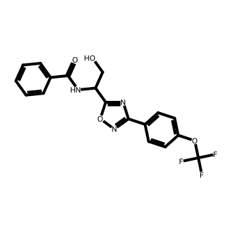 O=C(NC(CO)c1nc(-c2ccc(OC(F)(F)F)cc2)no1)c1ccccc1